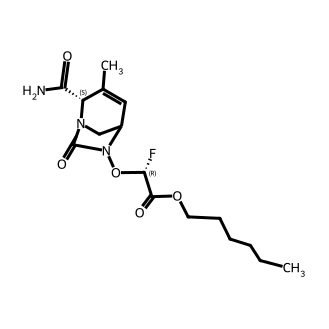 CCCCCCOC(=O)[C@@H](F)ON1C(=O)N2CC1C=C(C)[C@H]2C(N)=O